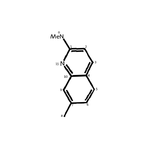 CNc1ccc2ccc(C)cc2n1